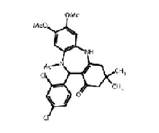 COc1cc2c(cc1OC)N(C(C)=O)C(c1ccc(Cl)cc1Cl)C1=C(CC(C)(C)CC1=O)N2